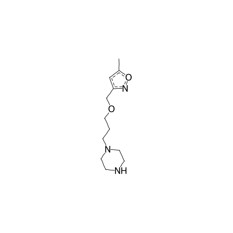 Cc1cc(COCCCN2CCNCC2)no1